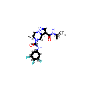 C[C@@H]1Cn2ncc(C(=O)N[C@H](C)C(F)(F)F)c2CN1C(=O)Nc1cc(F)c(F)c(F)c1